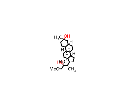 COC[C@@H](O)[C@@H](C)[C@H]1CC[C@H]2[C@@H]3CC[C@@H]4C[C@](C)(O)CC[C@@H]4[C@H]3CC[C@]12C